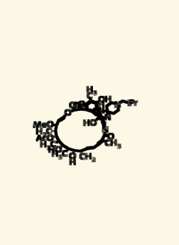 CO[C@H]1/C=C/O[C@@]2(C)Oc3c(C)c(O)c4c(O)c(c5c(c4c3C2=O)NC2(CCN(CC(C)C)CC2)N=5)=NC(=O)/C(C)=C\C=C\[C@H](C)[C@H](O)[C@@H](C)[C@@H](O)[C@@H](C)[C@H](OC(C)=O)[C@@H]1C